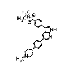 CN1CCN(c2ccc(-c3cnc4[nH]cc(-c5ccc(S(=O)(=O)N(C)C)cc5)c4c3)cc2)CC1